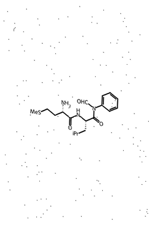 CSCC[C@H](N)C(=O)N[C@@H](CC(C)C)C(=O)N(C=O)c1ccccc1